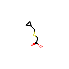 O=C(O)CSCC1CC1